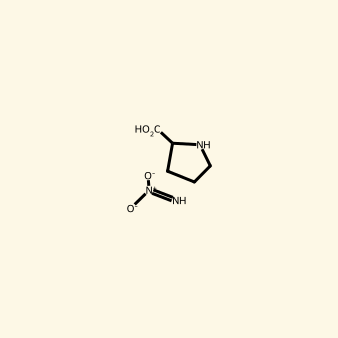 N=[N+]([O-])[O-].O=C(O)C1CCCN1